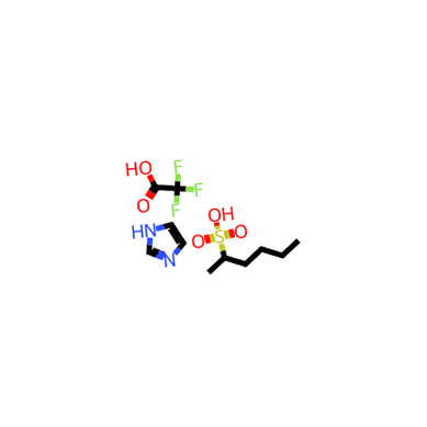 CCCCC(C)S(=O)(=O)O.O=C(O)C(F)(F)F.c1c[nH]cn1